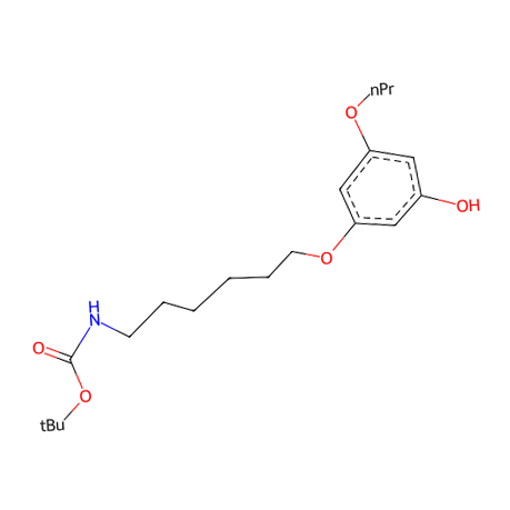 CCCOc1cc(O)cc(OCCCCCCNC(=O)OC(C)(C)C)c1